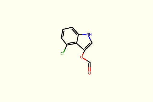 O=COc1c[nH]c2cccc(Cl)c12